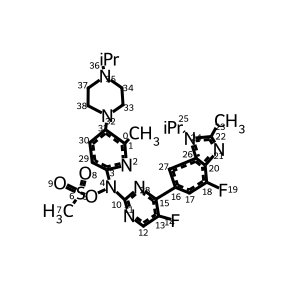 Cc1nc(N(OS(C)(=O)=O)c2ncc(F)c(-c3cc(F)c4nc(C)n(C(C)C)c4c3)n2)ccc1N1CCN(C(C)C)CC1